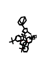 Cl.Cl.[CH2]=[Zr]([C]1=CC(C2C3CC4CC(C3)CC2C4)=CC1C)([c]1ccc(C(C)(C)C)cc1)([c]1ccc(C(C)(C)C)cc1)[c]1cccc2c1Cc1ccccc1-2